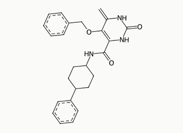 C=C1NC(=O)NC(C(=O)NC2CCC(c3ccccc3)CC2)=C1OCc1ccccc1